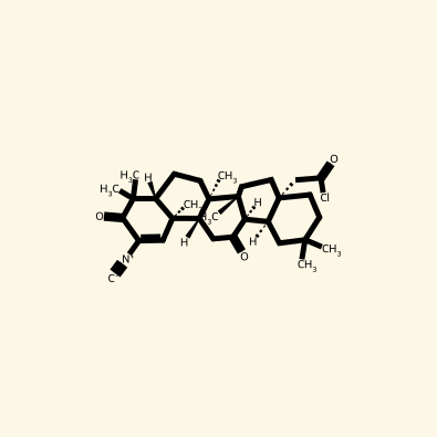 [C-]#[N+]C1=C[C@]2(C)[C@H]3CC(=O)[C@@H]4[C@@H]5CC(C)(C)CC[C@]5(CC(=O)Cl)CC[C@@]4(C)[C@]3(C)CC[C@H]2C(C)(C)C1=O